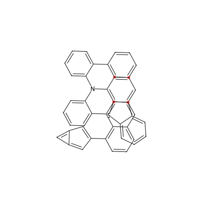 c1ccc(-c2ccccc2N(c2ccccc2-c2cccc3cccc(-c4cc5cc-5c4)c23)c2cccc3c2sc2ccccc23)cc1